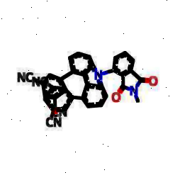 CN1C(=O)c2cccc(-n3c4cccc(-c5cc(C#N)cc(C#N)c5)c4c4c(-c5cc(C#N)cc(C#N)c5)cccc43)c2C1=O